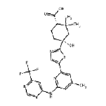 Cc1cc(Nc2cc(C(F)(F)F)ncn2)nc(-c2cnc([C@@]3(O)CC[C@H](C(=O)O)C(C)(C)C3)s2)c1